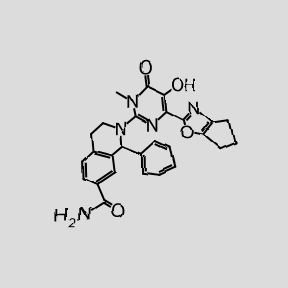 Cn1c(N2CCc3ccc(C(N)=O)cc3C2c2ccccc2)nc(-c2nc3c(o2)CCC3)c(O)c1=O